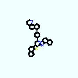 c1ccc2c(c1)ccc1c2nc2c3sc4c5ccccc5ccc4c3cc(-c3ccc(-c4cccc5c4ccc4cccnc45)cc3)n12